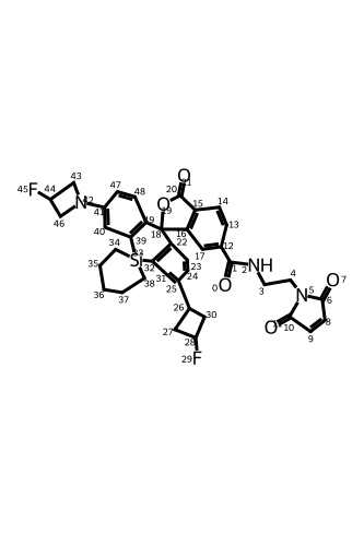 O=C(NCCN1C(=O)C=CC1=O)c1ccc2c(c1)C1(OC2=O)c2ccc(C3CC(F)C3)cc2[Si]2(CCCCC2)c2cc(N3CC(F)C3)ccc21